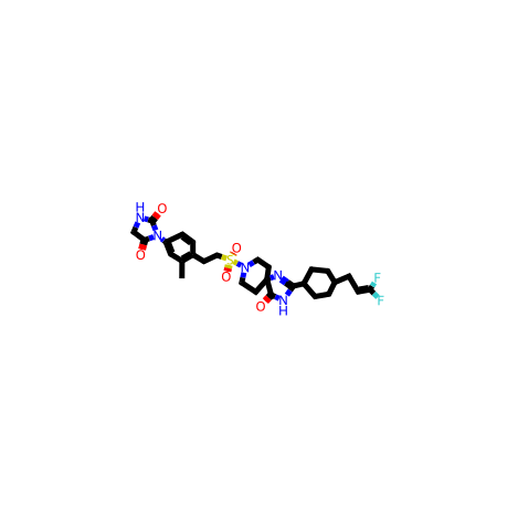 Cc1cc(N2C(=O)CNC2=O)ccc1CCS(=O)(=O)N1CCC2(CC1)N=C(C1CCC(CC=C(F)F)CC1)NC2=O